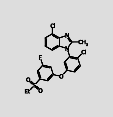 CCS(=O)(=O)c1cc(F)cc(Oc2ccc(Cl)c(-n3c(C)nc4c(Cl)cccc43)c2)c1